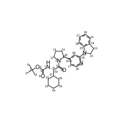 CC(C)(C)OC(=O)N[C@H](C(=O)N1CCC[C@H]1c1ccnc(N2CCc3ccccc32)c1)C1CCCCC1